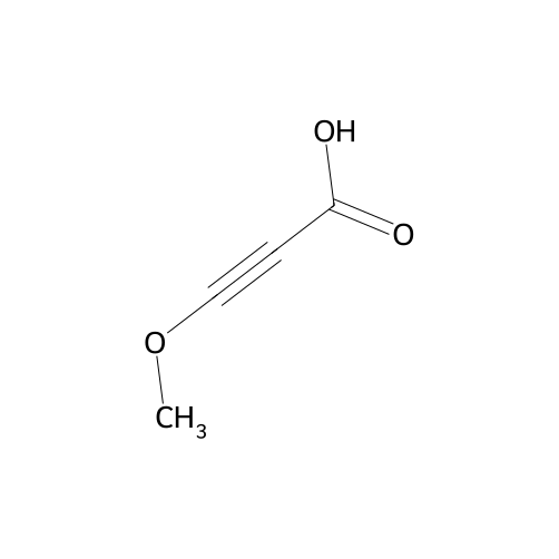 COC#CC(=O)O